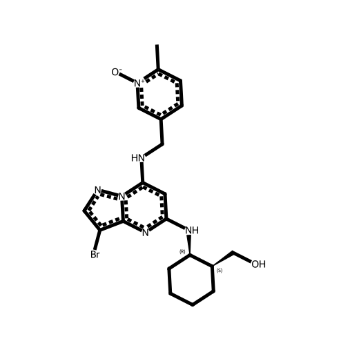 Cc1ccc(CNc2cc(N[C@@H]3CCCC[C@@H]3CO)nc3c(Br)cnn23)c[n+]1[O-]